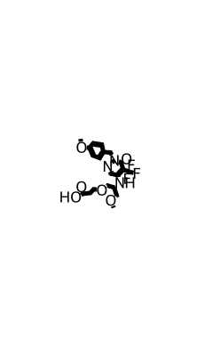 COCC(COCCC(=O)O)Nc1cnn(Cc2ccc(OC)cc2)c(=O)c1C(F)(F)F